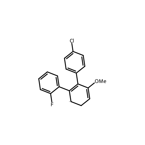 COC1=CC[CH]C(c2ccccc2F)=C1c1ccc(Cl)cc1